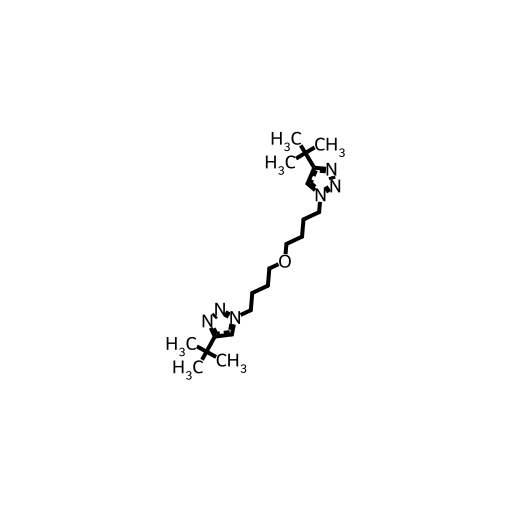 CC(C)(C)c1cn(CCCCOCCCCn2cc(C(C)(C)C)nn2)nn1